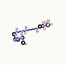 O=C(CNCCNc1cccc(-c2cnc3ccc(N4CCC[C@@H]4c4cccc(F)c4)nn23)n1)NCCCCCCNc1ccc2c(c1)C(=O)N(C1CCC(=O)NC1=O)C2=O